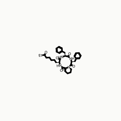 CCC(=O)CCCCC[C@@H]1NC(=O)[C@H]2CCCCN2C(=O)[C@H](Cc2ccccc2)NC(=O)[C@H](Cc2ccccc2)NC1=O